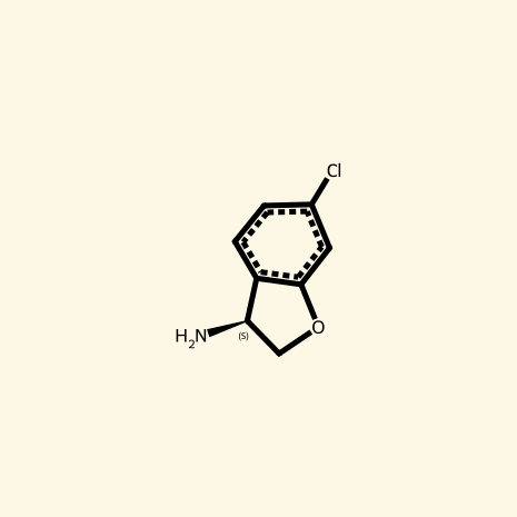 N[C@@H]1COc2cc(Cl)ccc21